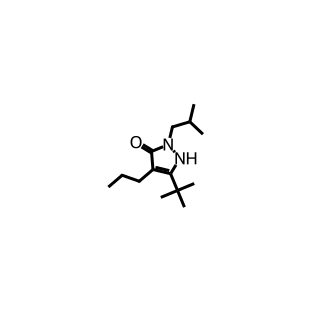 CCCc1c(C(C)(C)C)[nH]n(CC(C)C)c1=O